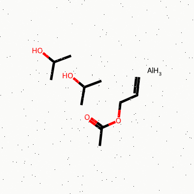 C=CCOC(C)=O.CC(C)O.CC(C)O.[AlH3]